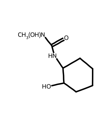 CN(O)C(=O)NC1CCCCC1O